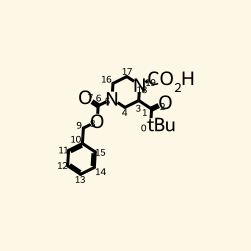 CC(C)(C)C(=O)C1CN(C(=O)OCc2ccccc2)CCN1C(=O)O